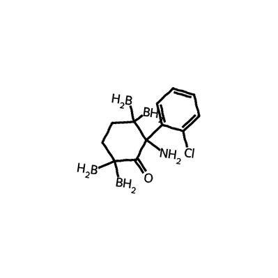 BC1(B)CCC(B)(B)C(N)(c2ccccc2Cl)C1=O